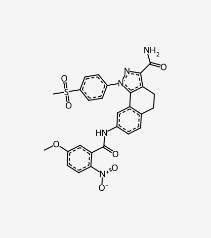 COc1ccc([N+](=O)[O-])c(C(=O)Nc2ccc3c(c2)-c2c(c(C(N)=O)nn2-c2ccc(S(C)(=O)=O)cc2)CC3)c1